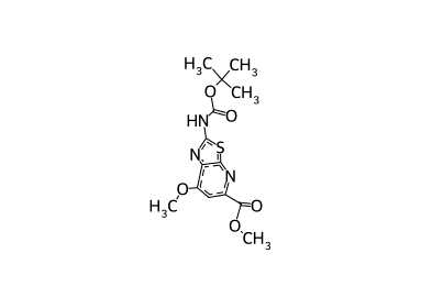 COC(=O)c1cc(OC)c2nc(NC(=O)OC(C)(C)C)sc2n1